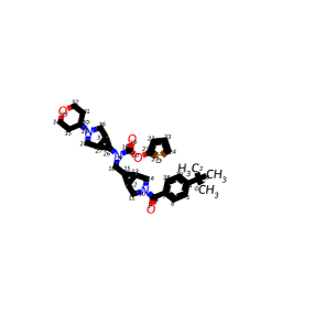 CC(C)(C)c1ccc(C(=O)N2CC3C(C2)C3CN(C(=O)Oc2cccs2)C2C3CN(C4CCOCC4)CC32)cc1